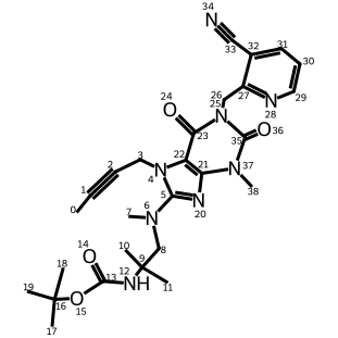 CC#CCn1c(N(C)CC(C)(C)NC(=O)OC(C)(C)C)nc2c1c(=O)n(Cc1ncccc1C#N)c(=O)n2C